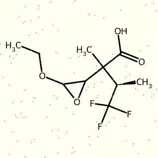 CCOC1OC1C(C)(C(=O)O)[C@@H](C)C(F)(F)F